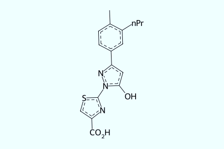 CCCc1cc(-c2cc(O)n(-c3nc(C(=O)O)cs3)n2)ccc1C